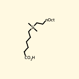 CCCCCCCCCC[Si](C)(C)CCCCCC(=O)O